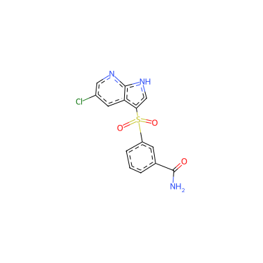 NC(=O)c1cccc(S(=O)(=O)c2c[nH]c3ncc(Cl)cc23)c1